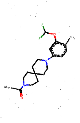 COC(=O)N1CCC2(CC1)CCN(c1ccc([N+](=O)[O-])c(OC(F)F)c1)CC2